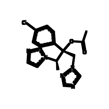 CC(=O)O[C@@](Cn1cncn1)(c1ccc(Cl)cc1)[C@@H](C)n1ccnn1